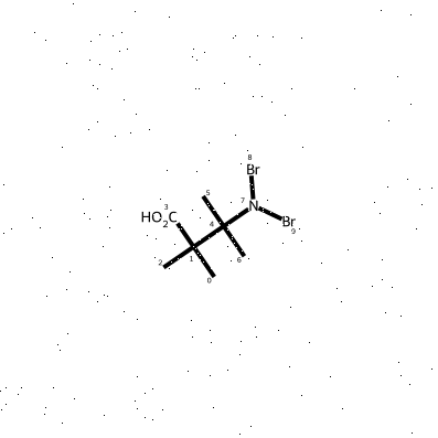 CC(C)(C(=O)O)C(C)(C)N(Br)Br